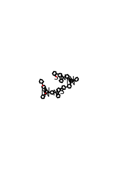 c1ccc(-c2ccc(-c3nc(-c4ccccc4)nc(-c4ccc(-n5c6ccccc6c6c7sc8cc(-c9cccc(-c%10nc(-c%11ccccc%11)nc(-c%11cccc(-n%12c%13ccccc%13c%13c%14sc%15ccccc%15c%14ccc%13%12)c%11)n%10)c9)ccc8c7ccc65)cc4)n3)cc2)cc1